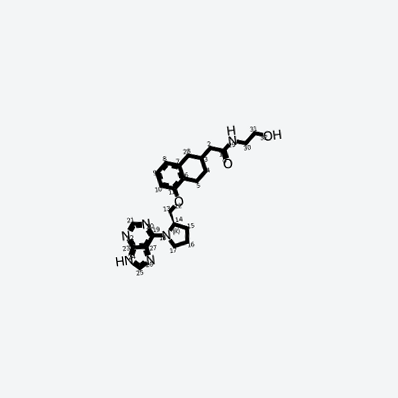 O=C(CC1CCc2c(cccc2OC[C@H]2CCCN2c2ncnc3[nH]cnc23)C1)NCCO